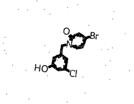 O=c1cc(Br)ccn1Cc1cc(O)cc(Cl)c1